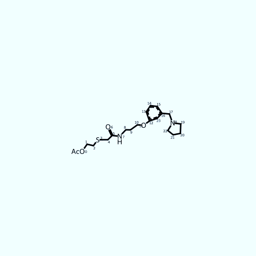 CC(=O)OCCSCC(=O)NCCCOc1cccc(CN2CCCC2)c1